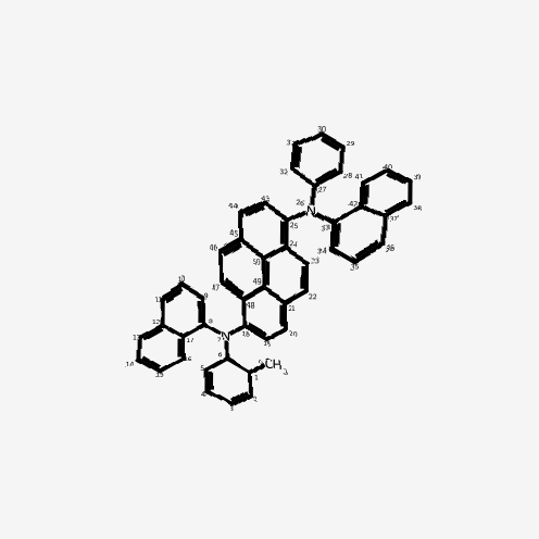 CC1C=CC=CC1N(c1cccc2ccccc12)c1ccc2ccc3c(N(c4ccccc4)c4cccc5ccccc45)ccc4ccc1c2c43